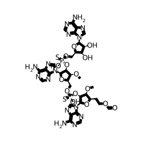 CO[C@H]1[C@@H](O[P@@](O)(=S)OC[C@H]2O[C@@H](n3cnc4c(N)ncnc43)[C@H](O)[C@@H]2O)[C@H](n2cnc3c(N)ncnc32)O[C@@H]1CO[P@@](O)(=S)O[C@@H]1[C@H](OC)[C@@H](CCOC=O)O[C@H]1n1cnc2c(N)ncnc21